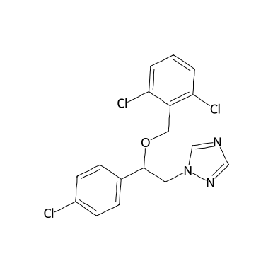 Clc1ccc(C(Cn2cncn2)OCc2c(Cl)cccc2Cl)cc1